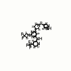 FC1(F)CN(c2nc(Nc3cc(C(F)(F)F)ccn3)cc(C3CCN(Cc4cn[nH]c4)C3)n2)C1